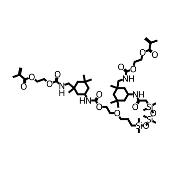 C=C(C)C(=O)OCCOC(=O)NCC1(C)CC(NC(=O)C[Si](C)(C)O[Si](C)(C)O[Si](C)(C)CCCOCCOC(=O)NC2CC(C)(C)CC(C)(CNC(=O)OCCOC(=O)C(=C)C)C2)CC(C)(C)C1